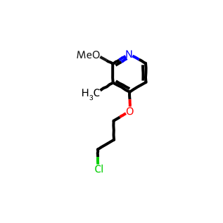 COc1nccc(OCCCCl)c1C